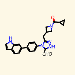 O=CC1NN=C(CC2CN(C(=O)C3CC3)C2)N1c1ccc(-c2ccc3cc[nH]c3c2)cc1